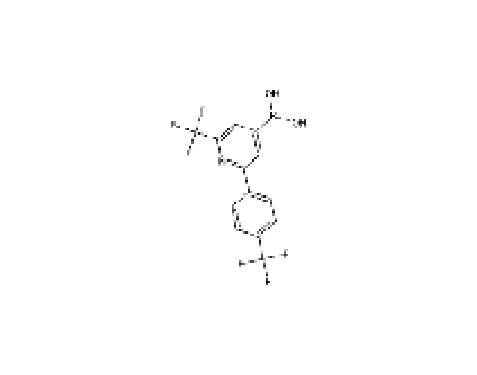 OB(O)c1cc(-c2ccc(C(F)(F)F)cc2)nc(C(F)(F)F)c1